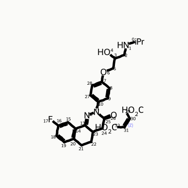 CC(C)NCC(O)COc1ccc(N2N=C3c4cc(F)ccc4CCC3CC2=O)cc1.O=C(O)/C=C\C(=O)O